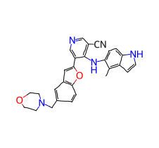 Cc1c(Nc2c(C#N)cncc2-c2cc3cc(CN4CCOCC4)ccc3o2)ccc2[nH]ccc12